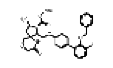 CC1CC2(COCC(=O)N2)C(COC2CC=C(c3cccc(F)c3OCc3ccccc3)CC2)N1C(=O)OC(C)(C)C